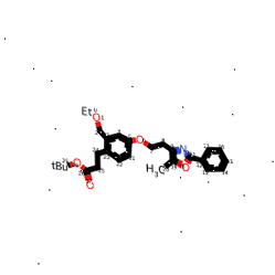 CCOCc1cc(OCCc2nc(-c3ccccc3)oc2C)ccc1CCC(=O)OC(C)(C)C